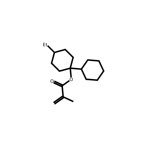 C=C(C)C(=O)OC1(C2CCCCC2)CCC(CC)CC1